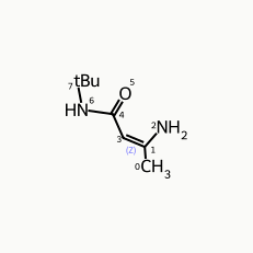 C/C(N)=C/C(=O)NC(C)(C)C